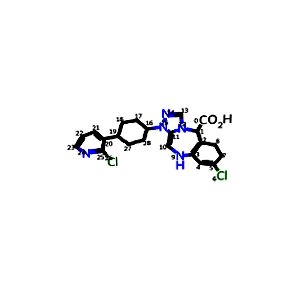 O=C(O)C1C2=C(C=C(Cl)CC2)NC=C2N1C=NN2C1CCC(c2cccnc2Cl)CC1